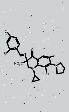 O=C(O)C1(N=Cc2ccc(Cl)cc2Cl)CN(C2CC2)c2c(cc(F)c(N3CCCC3)c2Cl)C1=O